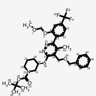 COCOc1cc(C(F)(F)F)ccc1-c1nnc(S[C@@H]2CCCN(C(=O)OC(C)(C)C)C2)c(COCc2ccccc2)c1C